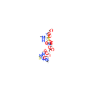 CCN[C@@H]1CN(CCCOC)S(=O)(=O)c2sc(S(=O)(=O)NC(=O)C(C)OC(=O)CCC(=O)OC(CNC(C)(C)C)COc3nsnc3N3CCOCC3)cc21